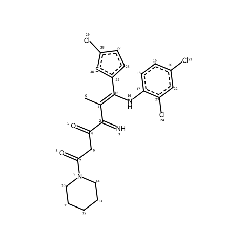 C/C(C(=N)C(=O)CC(=O)N1CCCCC1)=C(/Nc1ccc(Cl)cc1Cl)c1ccc(Cl)s1